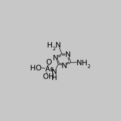 Nc1nc(N)nc(N[As](=O)(O)O)n1